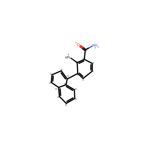 CCCc1c(C(N)=O)cccc1-c1cccc2ccccc12